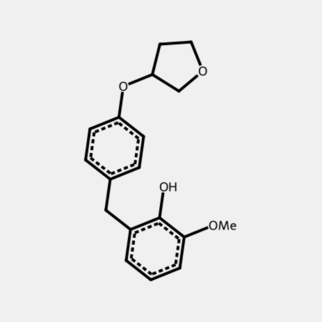 COc1cccc(Cc2ccc(OC3CCOC3)cc2)c1O